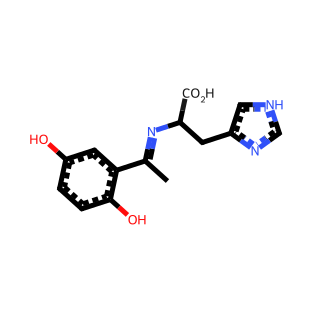 CC(=NC(Cc1c[nH]cn1)C(=O)O)c1cc(O)ccc1O